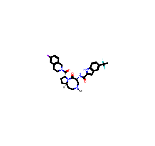 CC(=O)N1CC[C@H]2CC[C@@H](C(=O)N3CCc4cc(I)ccc4C3)N2C(=O)[C@@H](NC(=O)c2cc3cc(C(C)(F)F)ccc3[nH]2)C1